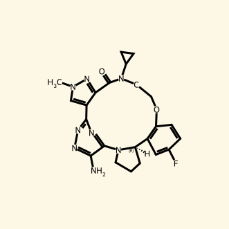 Cn1cc2c(n1)C(=O)N(C1CC1)CCOc1ccc(F)cc1[C@H]1CCCN1c1nc-2nnc1N